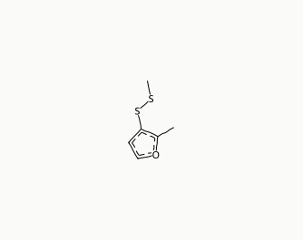 CSSc1ccoc1C